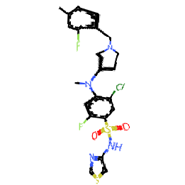 Cc1ccc(CN2CCC(N(C)c3cc(F)c(S(=O)(=O)Nc4cscn4)cc3Cl)C2)c(F)c1